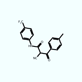 Cc1ccc(C(=O)C(C#N)C(=O)Nc2ccc(C(F)(F)F)cc2)cc1